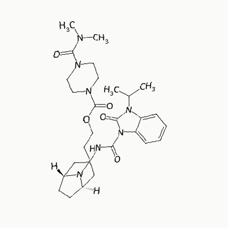 CC(C)n1c(=O)n(C(=O)NC2C[C@H]3CC[C@H](C2)N3CCCOC(=O)N2CCN(C(=O)N(C)C)CC2)c2ccccc21